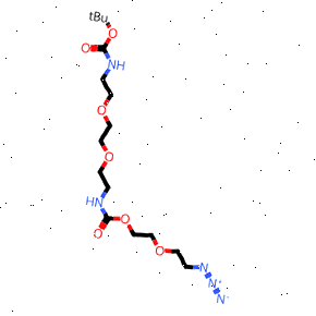 CC(C)(C)OC(=O)NCCOCCOCCNC(=O)OCCOCCN=[N+]=[N-]